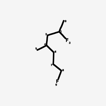 CC(F)CC(C)CCCF